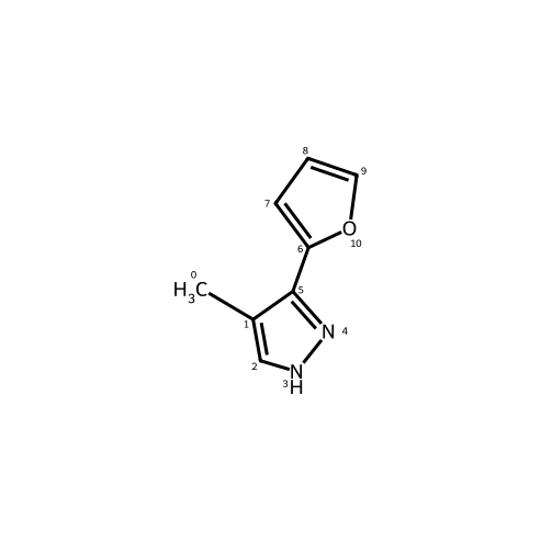 Cc1c[nH]nc1-c1ccco1